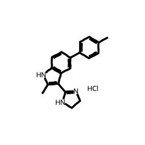 Cc1ccc(-c2ccc3[nH]c(C)c(C4=NCCN4)c3c2)cc1.Cl